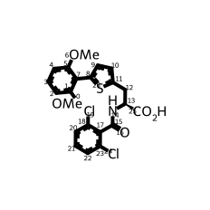 COc1cccc(OC)c1-c1ccc(C[C@H](NC(=O)c2c(Cl)cccc2Cl)C(=O)O)s1